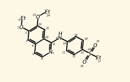 CCOc1cc2ccnc(Nc3ccc(S(=O)(=O)CC)cc3)c2cc1OCC